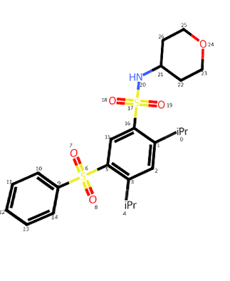 CC(C)c1cc(C(C)C)c(S(=O)(=O)c2ccccc2)cc1S(=O)(=O)NC1CCOCC1